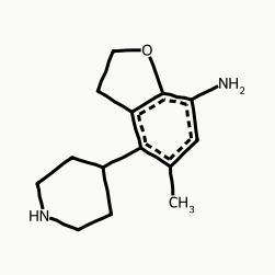 Cc1cc(N)c2c(c1C1CCNCC1)CCO2